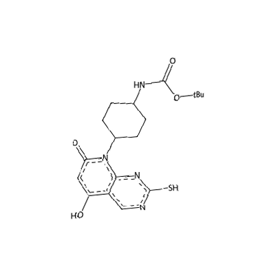 CC(C)(C)OC(=O)NC1CCC(n2c(=O)cc(O)c3cnc(S)nc32)CC1